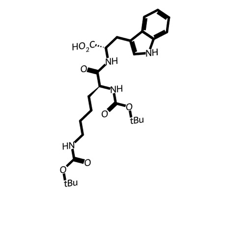 CC(C)(C)OC(=O)NCCCC[C@H](NC(=O)OC(C)(C)C)C(=O)N[C@@H](Cc1c[nH]c2ccccc12)C(=O)O